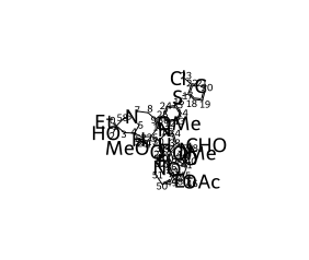 CC[C@]1(O)C[C@H]2CN(CCc3c([nH]c4ccc(Sc5ccccc5Cl)cc34)[C@@](C(=O)OC)(C3C=C4C(=CC3OC)N(C=O)[C@@]35O[C@]3(C(=O)OC)[C@H](OC(C)=O)[C@]3(CC)C=CCN6CC[C@]45[C@@H]63)C2)C1